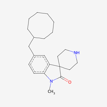 CN1C(=O)C2(CCNCC2)c2cc(CC3CCCCCCC3)ccc21